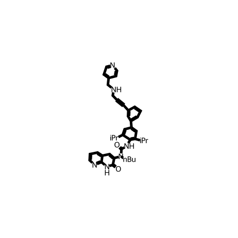 CCCCN(C(=O)Nc1c(C(C)C)cc(-c2cccc(C#CCNCc3ccncc3)c2)cc1C(C)C)c1cc2cccnc2[nH]c1=O